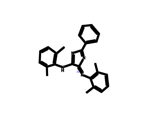 Cc1cccc(C)c1/N=C1\N=C(c2ccccc2)N=C1Nc1c(C)cccc1C